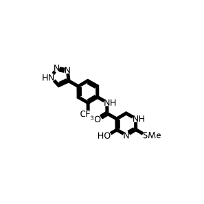 CSC1=NC(O)=C(C(=O)Nc2ccc(-c3c[nH]nn3)cc2C(F)(F)F)CN1